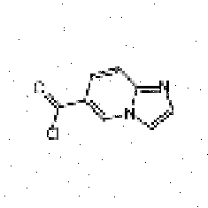 O=C(Cl)c1ccc2nccn2c1